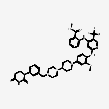 CNC(=O)c1ccccc1Nc1cc(Nc2ccc(N3CCC(N4CCN(Cc5cccc(C6CCC(=O)NC6=O)c5)CC4)CC3)cc2OC)ncc1C(F)(F)F